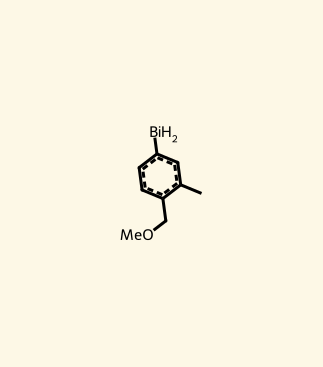 COCc1cc[c]([BiH2])cc1C